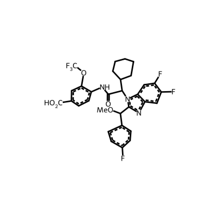 COC(c1ccc(F)cc1)c1nc2cc(F)c(F)cc2n1C(C(=O)Nc1ccc(C(=O)O)cc1OC(F)(F)F)C1CCCCC1